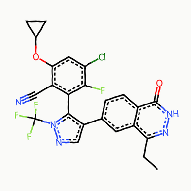 CCc1n[nH]c(=O)c2ccc(-c3cnn(C(F)(F)F)c3-c3c(F)c(Cl)cc(OC4CC4)c3C#N)cc12